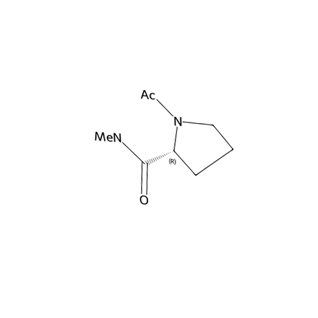 CNC(=O)[C@H]1CCCN1C(C)=O